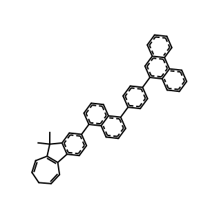 CC1(C)C2=C(C=CCC=C2)c2ccc(-c3cccc4c(-c5ccc(-c6cc7ccccc7c7ccccc67)cc5)cccc34)cc21